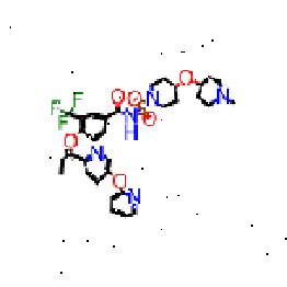 CC[C@@H](Oc1ccc(C(=O)NS(=O)(=O)N2CCC(OC3CCN(C)CC3)CC2)cc1C(F)(F)F)c1ccc(Oc2ccccn2)cn1